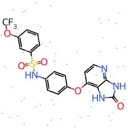 O=c1[nH]c2nccc(Oc3ccc(NS(=O)(=O)c4cccc(OC(F)(F)F)c4)cc3)c2[nH]1